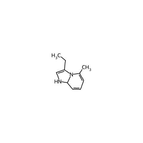 CCC1=CNC2C=CC=C(C)N12